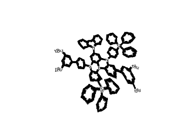 CC(C)(C)c1cc(-c2ccc(N3c4ccc([Si](c5ccccc5)(c5ccccc5)c5ccccc5)cc4B4c5ccc(-c6cc(C(C)(C)C)cc(C(C)(C)C)c6)cc5N(c5ccc([Si](c6ccccc6)(c6ccccc6)c6ccccc6)cc5)c5cc(-n6c7ccccc7c7ccccc76)cc3c54)cc2)cc(C(C)(C)C)c1